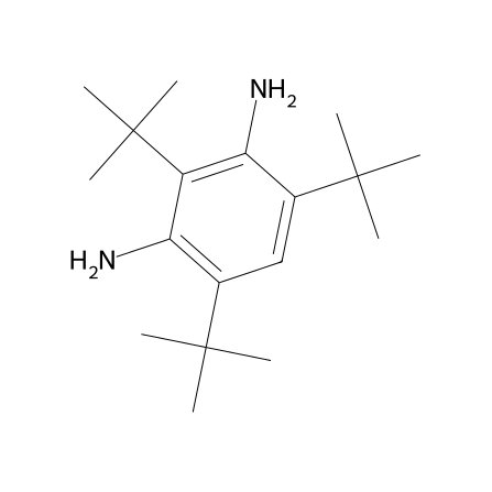 CC(C)(C)c1cc(C(C)(C)C)c(N)c(C(C)(C)C)c1N